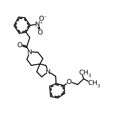 CC(C)COc1ccccc1CN1CCC2(CCN(C(=O)Cc3ccccc3[N+](=O)[O-])CC2)C1